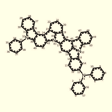 c1ccc(N(c2ccccc2)c2ccc3c4cc5c(c6cccc7c8c9c%10ccccc%10n(-c%10ccccc%10)c9ccc8n5c76)c5c6ccccc6n(c3c2)c45)cc1